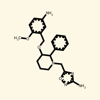 COc1ccc(N)cc1COC1CCCN(Cc2nc(N)no2)C1c1ccccc1